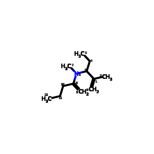 C=C(C)C(CC)N(C)C(=C)CCC